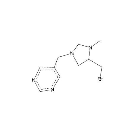 CN1CN(Cc2cncnc2)CC1CBr